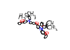 Cc1ccc(N(c2ccc3cc4c(cc3c2)oc2c(-c3ccccc3)c(N(c3ccc(C)c(C)c3)c3ccc5c(c3)oc3ccccc35)ccc24)c2ccc3c(c2)oc2ccccc23)cc1C